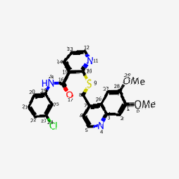 COc1cc2nccc(CSc3ncccc3C(=O)Nc3cccc(Cl)c3)c2cc1OC